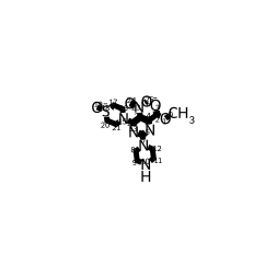 COC(=O)c1nc(N2CCNCC2)nc(N2CC[S+]([O-])CC2)c1[N+](=O)[O-]